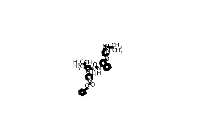 CC(C)c1nnc2ccc(O[C@@H]3CC[C@H](NC(=O)Nc4cc(C(C)(C)C)nn4C4CCN(C(=O)OCc5ccccc5)CC4)c4ccccc43)cn12